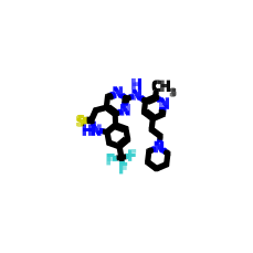 Cc1ncc(CCN2CCCCC2)cc1Nc1ncc2c(n1)C1=CC=C(C(F)(F)F)CC1NC(=S)C2